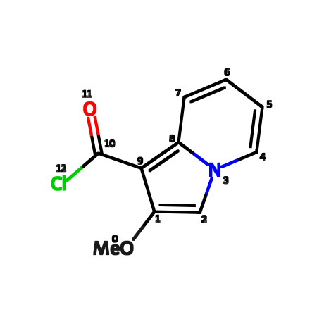 COc1cn2ccccc2c1C(=O)Cl